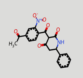 CC(=O)c1ccc(C(=O)C2C(=O)CC(c3ccccc3)NC2=O)c([N+](=O)[O-])c1